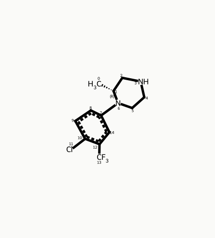 C[C@@H]1CNCCN1c1ccc(Cl)c(C(F)(F)F)c1